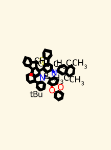 Cc1cc2c(cc1N1c3cc4c(cc3B3c5c1cc1c(sc6ccccc61)c5-c1c(ccc5c1C(C)(C)c1ccccc1-5)N3c1ccc(C(C)(C)C)cc1-c1ccccc1)Oc1ccccc1O4)C(C)(C)CCC2(C)C